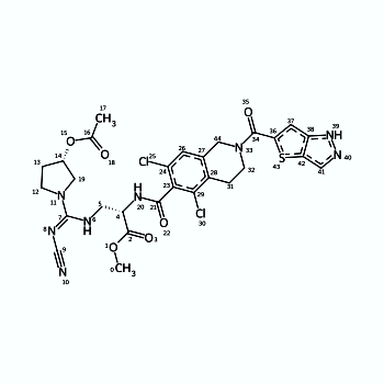 COC(=O)[C@H](CN/C(=N\C#N)N1CC[C@H](OC(C)=O)C1)NC(=O)c1c(Cl)cc2c(c1Cl)CCN(C(=O)c1cc3[nH]ncc3s1)C2